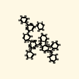 c1ccc(-c2cc(-c3cccc(-c4nc(-c5ccccc5)nc(-n5c6ccccc6c6c7c8ccccc8n(-c8ccccc8)c7ccc65)n4)c3)nc(-c3ccccc3)n2)cc1